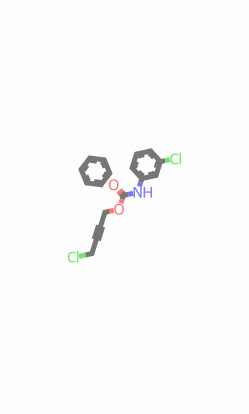 O=C(Nc1cccc(Cl)c1)OCC#CCCl.c1ccccc1